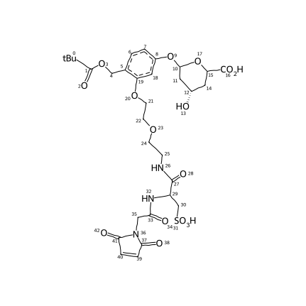 CC(C)(C)C(=O)OCc1ccc(OC2C[C@@H](O)CC(C(=O)O)O2)cc1OCCOCCNC(=O)C(CS(=O)(=O)O)NC(=O)CN1C(=O)C=CC1=O